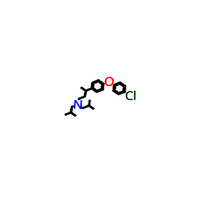 CC(C)CN(CCC(C)c1ccc(Oc2ccc(Cl)cc2)cc1)CC(C)C